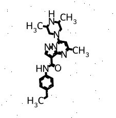 CCc1ccc(NC(=O)c2cnn3c(N4CC(C)NC(C)C4)cc(C)nc23)cc1